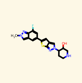 Cn1cc2cc(-c3cc4cn(C5CCNCC5O)nc4s3)cc(F)c2n1